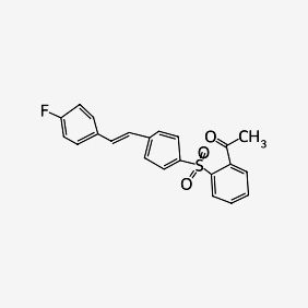 CC(=O)c1ccccc1S(=O)(=O)c1ccc(/C=C/c2ccc(F)cc2)cc1